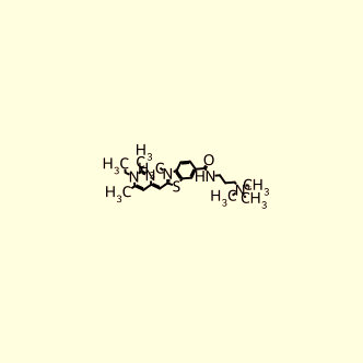 CCN1C(C)=C/C(=C/c2sc3cc(C(=O)NCCC[N+](C)(C)C)ccc3[n+]2C)N=C1C